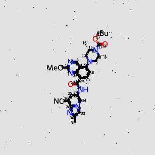 COc1ncc2c(N3C[C@@H](C)N(C(=O)OC(C)(C)C)[C@@H](C)C3)ccc(C(=O)Nc3cc(C#N)c4nc(C)cn4c3)c2n1